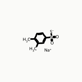 Cc1ccc(S(=O)(=O)[S-])cc1C.[Na+]